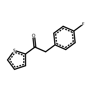 O=C(Cc1ccc(F)cc1)c1cccs1